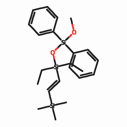 CC[Si](C=C[Si](C)(C)C)(CC)O[Si](OC)(c1ccccc1)c1ccccc1